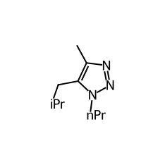 CCCn1nnc(C)c1CC(C)C